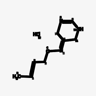 CC=CCON=C1CN=CNC1.Cl